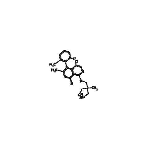 Cc1cccc(Cl)c1-n1c(C)cc(=O)c2c(OCC(C)(CO)CO)ncc(Cl)c21